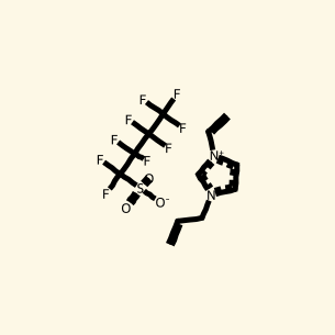 C=CCn1cc[n+](C=C)c1.O=S(=O)([O-])C(F)(F)C(F)(F)C(F)(F)C(F)(F)F